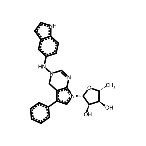 C[C@H]1O[C@@H](n2cc(-c3ccccc3)c3c2N=CN(Nc2ccc4[nH]ccc4c2)C3)[C@H](O)[C@@H]1O